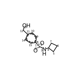 O=S(=O)(NC1CCC1)c1ccc(CO)cc1